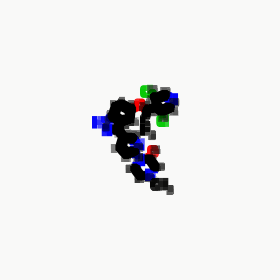 CC(Oc1ccc2[nH]nc(-c3ccc(N4CCN(C)CC4=O)nc3)c2c1)c1c(Cl)cncc1Cl